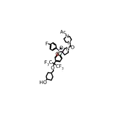 CC(=O)N1CCN(C(=O)N2CC[C@](c3ccc(C(OCC4CCC(O)CC4)(C(F)(F)F)C(F)(F)F)cc3)(S(=O)(=O)c3ccc(F)cc3)C2)CC1